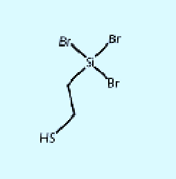 SCC[Si](Br)(Br)Br